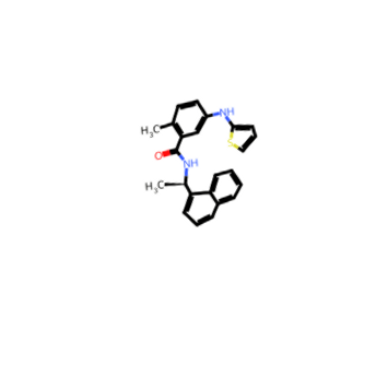 Cc1ccc(Nc2cccs2)cc1C(=O)N[C@H](C)c1cccc2ccccc12